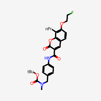 CCCc1c(OCCF)ccc2cc(C(=O)Nc3ccc(CN(C)C(=O)OC(C)(C)C)cc3)c(=O)oc12